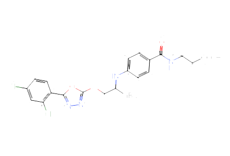 CCCCC(COc1nnc(-c2ccc(Cl)cc2Cl)o1)Nc1ccc(C(=O)NCCC(=O)O)cc1